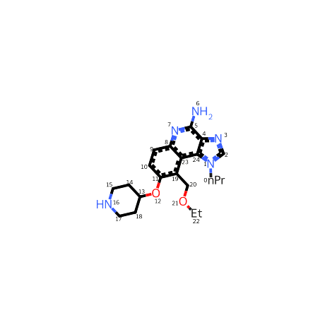 CCCn1cnc2c(N)nc3ccc(OC4CCNCC4)c(COCC)c3c21